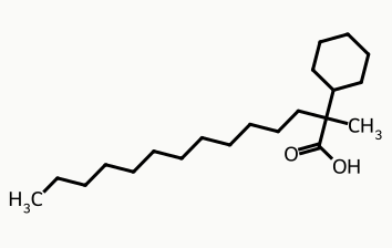 CCCCCCCCCCCCC(C)(C(=O)O)C1CCCCC1